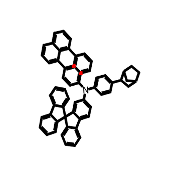 c1ccc(-c2cccc3cccc(-c4ccc(N(c5ccc(C6CC7CCC6C7)cc5)c5ccc6c(c5)C5(c7ccccc7-c7ccccc75)c5ccccc5-6)cc4)c23)cc1